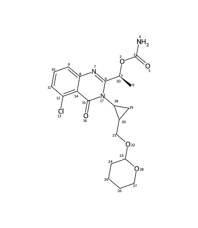 C[C@H](OC(N)=O)c1nc2cccc(Cl)c2c(=O)n1C1CC1COC1CCCCO1